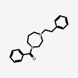 O=C(c1ccccc1)N1CCCN(CCc2ccccc2)CC1